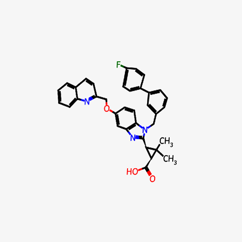 CC1(C)[C@H](c2nc3cc(OCc4ccc5ccccc5n4)ccc3n2Cc2cccc(-c3ccc(F)cc3)c2)[C@@H]1C(=O)O